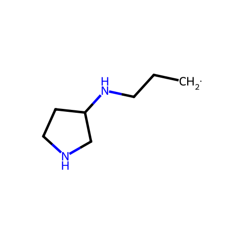 [CH2]CCNC1CCNC1